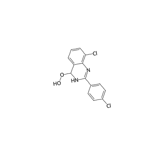 OOC1NC(c2ccc(Cl)cc2)=Nc2c(Cl)cccc21